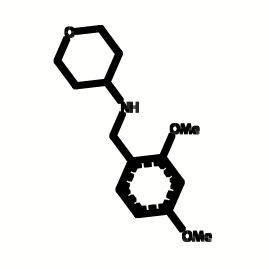 COc1ccc(CNC2CCOCC2)c(OC)c1